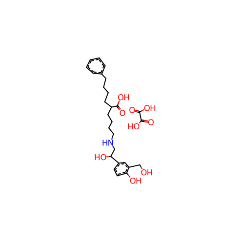 O=C(O)C(=O)O.O=C(O)C(CCCCNCC(O)c1ccc(O)c(CO)c1)CCCCc1ccccc1